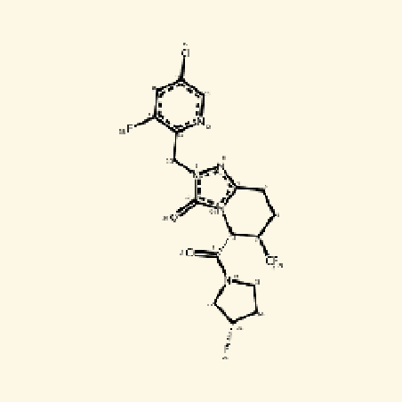 O=C([C@H]1[C@H](C(F)(F)F)CCc2nn(Cc3ncc(Cl)cc3F)c(=O)n21)N1CC[C@H](F)C1